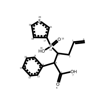 C=CCC(C(C(=O)O)c1ccccc1)P(=O)(O)c1ccsc1